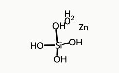 O.O[Si](O)(O)O.[Zn]